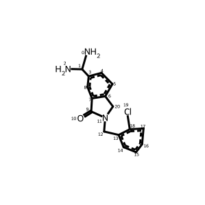 NC(N)c1ccc2c(c1)C(=O)N(Cc1ccccc1Cl)C2